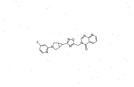 O=c1c2cccnc2ncn1Cc1nc(C2C3CN(c4cc(F)ccn4)CC32)no1